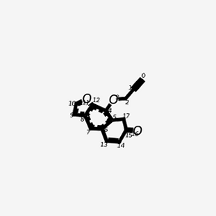 C#CCOc1c2c(cc3ccoc13)C=CC(=O)C2